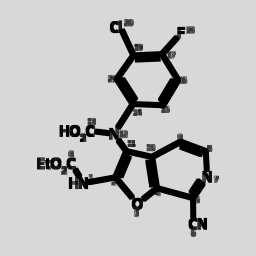 CCOC(=O)Nc1oc2c(C#N)nccc2c1N(C(=O)O)c1ccc(F)c(Cl)c1